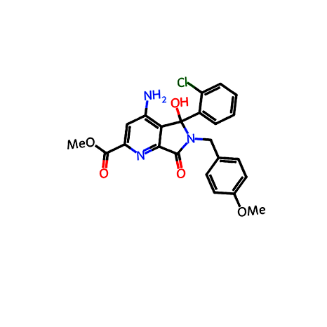 COC(=O)c1cc(N)c2c(n1)C(=O)N(Cc1ccc(OC)cc1)C2(O)c1ccccc1Cl